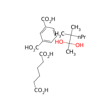 CCCC(C)(C)C(C)(O)O.O=C(O)CCCCC(=O)O.O=C(O)c1cccc(C(=O)O)c1